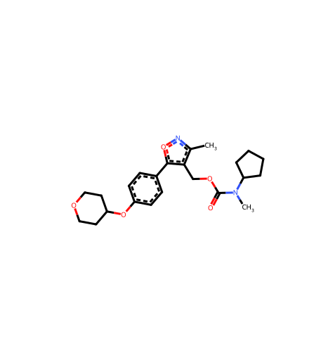 Cc1noc(-c2ccc(OC3CCOCC3)cc2)c1COC(=O)N(C)C1CCCC1